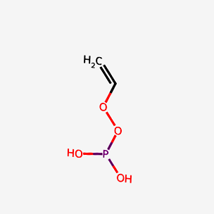 C=COOP(O)O